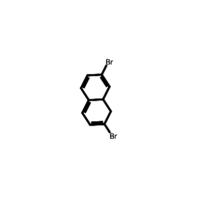 BrC1=CC2CC(Br)=CC=C2C=C1